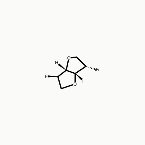 CC(C)[C@H]1CO[C@@H]2[C@H]1OC[C@H]2F